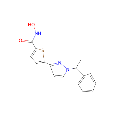 CC(c1ccccc1)n1ccc(-c2ccc(C(=O)NO)s2)n1